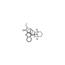 CCOC(=O)c1nc2ccccc2n(C2C[C@@H]3CCC[C@@H](C2)N3C2(I)CC3CCCC(C3)C2)c1=O